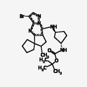 CC1Cc2c(nc3c(Br)cnn3c2N[C@H]2CC[C@H](NC(=O)OC(C)(C)C)C2)C12CCCC2